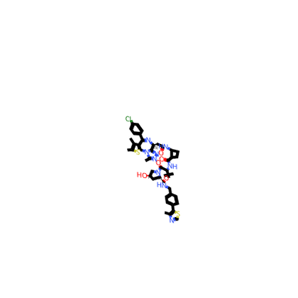 Cc1ncsc1-c1ccc(CNC(=O)[C@@H]2C[C@@H](O)CN2C(=O)C(NC(=O)C2CCC2NC(=O)C[C@@H]2N=C(c3ccc(Cl)cc3)c3c(sc(C)c3C)-n3c(C)nnc32)C(C)(C)C)cc1